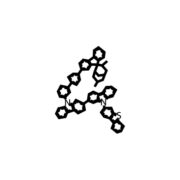 CC1CC2CC(C)C3(c4ccccc4-c4ccc(-c5ccc(-c6cccc(-n7c8ccccc8c8ccc(-c9ccc%10c%11ccccc%11n(-c%11ccc%12c(c%11)sc%11ccccc%11%12)c%10c9)cc87)c6)cc5)cc43)C(C1)C2